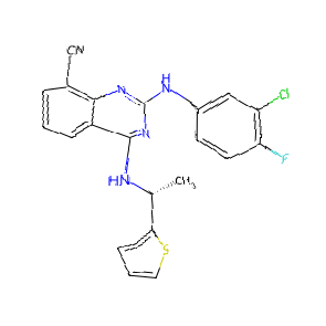 C[C@@H](Nc1nc(Nc2ccc(F)c(Cl)c2)nc2c(C#N)cccc12)c1cccs1